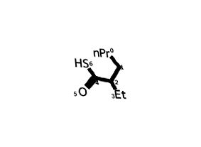 CCCCC(CC)C(=O)S